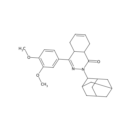 COc1ccc(C2=NN(C3C4CC5CC(C4)CC3C5)C(=O)C3CC=CCC23)cc1OC